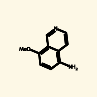 COc1ccc(N)c2ccncc12